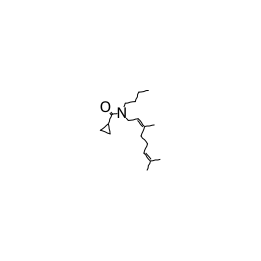 CCCCN(C/C=C(/C)CCC=C(C)C)C(=O)C1CC1